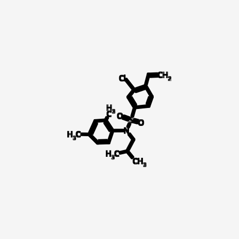 C=Cc1ccc(S(=O)(=O)N(CC(C)C)c2ccc(C)cc2C)cc1Cl